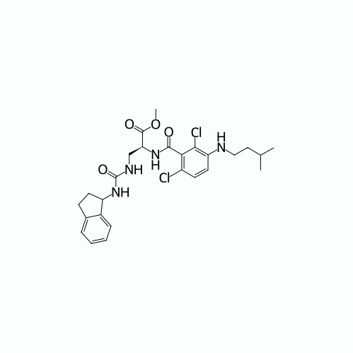 COC(=O)[C@H](CNC(=O)NC1CCc2ccccc21)NC(=O)c1c(Cl)ccc(NCCC(C)C)c1Cl